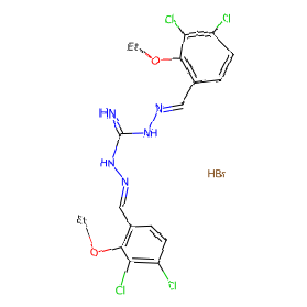 Br.CCOc1c(C=NNC(=N)NN=Cc2ccc(Cl)c(Cl)c2OCC)ccc(Cl)c1Cl